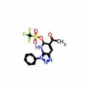 CC(=O)C1=Cc2nnn(-c3ccccc3)c2NC1OS(=O)(=O)C(F)(F)F